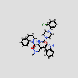 CN(C)CC(c1c[nH]c2ccccc12)C(NC(=O)N1CCN(c2ccccc2Cl)CC1)C(=O)N1CCCc2ccccc21